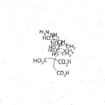 CC(=O)O.CC(=O)O.CC(=O)O.CC(=O)O.N.N.O=C(O)CC(O)(CC(=O)O)C(=O)O